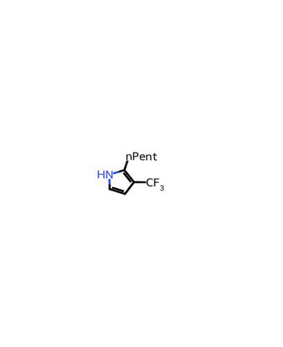 CCCCCc1[nH]ccc1C(F)(F)F